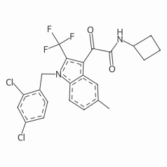 Cc1ccc2c(c1)c(C(=O)C(=O)NC1CCC1)c(C(F)(F)F)n2Cc1ccc(Cl)cc1Cl